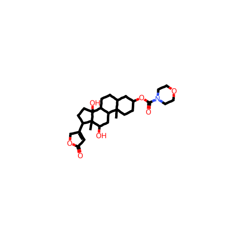 CC12CCC(OC(=O)N3CCOCC3)CC1CCC1C2CC(O)C2(C)C(C3=CC(=O)OC3)CCC12O